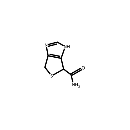 NC(=O)C1SCc2nc[nH]c21